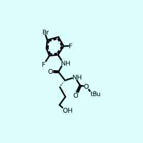 CC(C)(C)OC(=O)N[C@H](CCCO)C(=O)Nc1c(F)cc(Br)cc1F